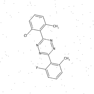 Cc1cccc(F)c1-c1nnc(-c2c(C)cccc2Cl)nn1